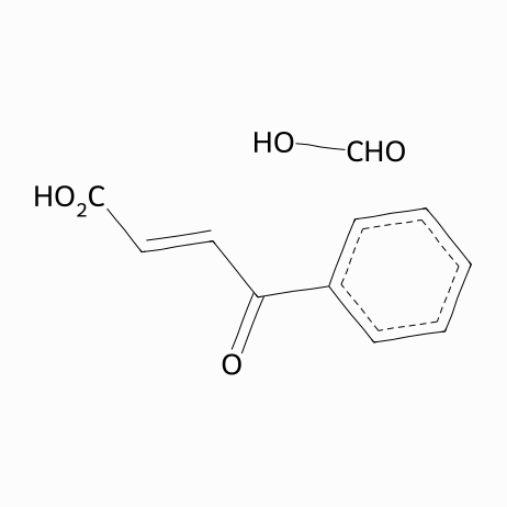 O=C(O)C=CC(=O)c1ccccc1.O=CO